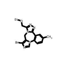 CCOCc1nnc2n1Cc1c(Br)ncn1-c1ccc(C)cc1-2